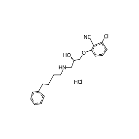 Cl.N#Cc1c(Cl)cccc1OC[C@H](O)CNCCCCc1ccccc1